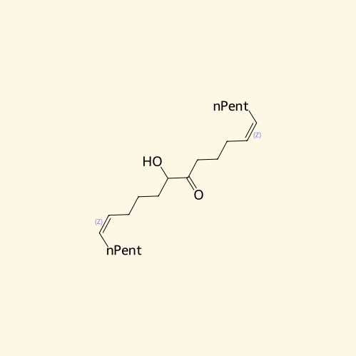 CCCCC/C=C\CCCC(=O)C(O)CCC/C=C\CCCCC